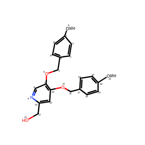 COc1ccc(COc2cnc(CO)cc2OCc2ccc(OC)cc2)cc1